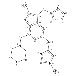 Cc1nn2c(CN3CCOCC3)cc(Nc3cn(C)cn3)nc2c1Cc1nccs1